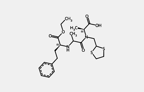 CCOC(=O)[C@H](CCc1ccccc1)NC(C)C(=O)N(CC1SCCS1)[C@@H](C)C(=O)O